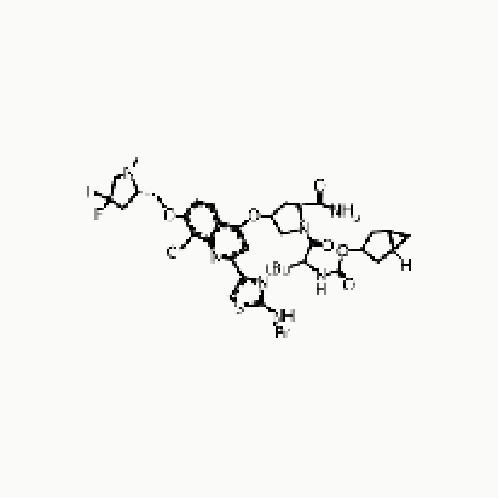 CC(C)Nc1nc(-c2cc(OC3C[C@@H](C(N)=O)N(C(=O)[C@@H](NC(=O)OC4CC5C[C@H]5C4)C(C)(C)C)C3)c3ccc(OC[C@@H]4CC(F)(F)CN4C)c(Cl)c3n2)cs1